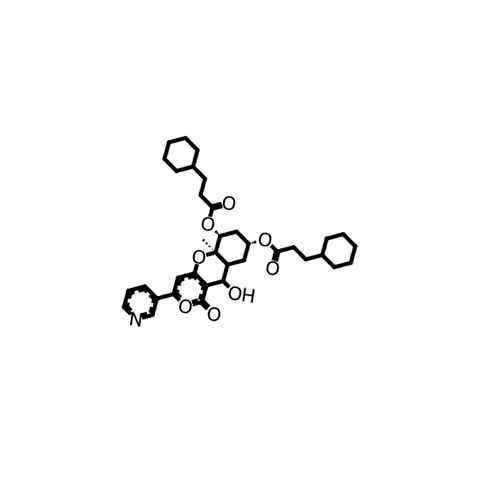 C[C@@]12Oc3cc(-c4cccnc4)oc(=O)c3C(O)C1C[C@@H](OC(=O)CCC1CCCCC1)C[C@H]2OC(=O)CCC1CCCCC1